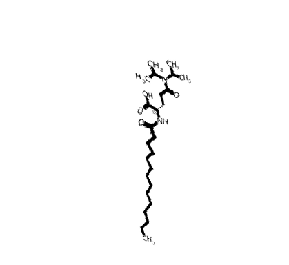 CCCCCCCCCCCCCC(=O)N[C@@H](CCC(=O)N(C(C)C)C(C)C)C(=O)O